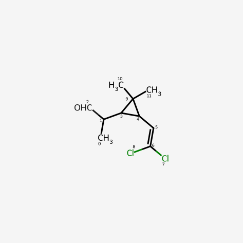 CC(C=O)C1C(C=C(Cl)Cl)C1(C)C